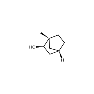 C[C@]12CC[C@H](C[C@H]1O)C2